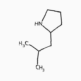 C[C](C)CC1CCCN1